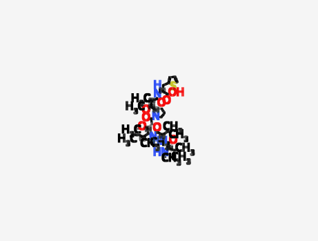 CC[C@H](C)C([C@@H](CC(=O)N1CCC[C@H]1[C@H](OC)[C@@H](C)C(=O)N[C@@H](Cc1cccs1)C(=O)O)OC)N(C)C(=O)[C@@H](NC(=O)[C@@H](NC)C(C)C)C(C)C